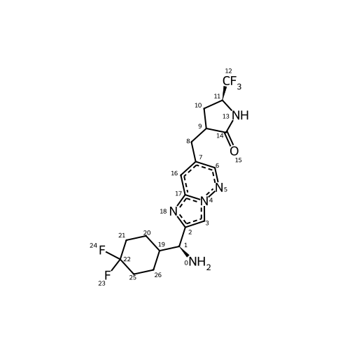 N[C@H](c1cn2ncc(CC3C[C@@H](C(F)(F)F)NC3=O)cc2n1)C1CCC(F)(F)CC1